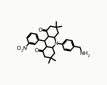 CC1(C)CC(=O)C2C(c3cccc([N+](=O)[O-])c3)C3C(=O)CC(C)(C)CC3N(c3ccc(CN)cc3)C2C1